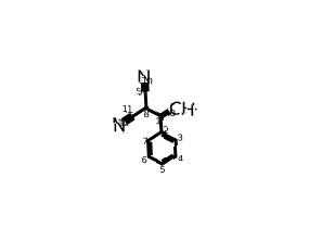 [CH]=C(c1ccccc1)C(C#N)C#N